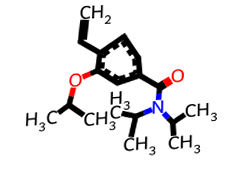 C=Cc1ccc(C(=O)N(C(C)C)C(C)C)cc1OC(C)C